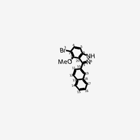 COc1c(Br)ccc2[nH]nc(-c3ccc4ccccc4c3)c12